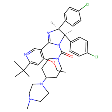 CCOc1cc(C(C)(C)C)ncc1C1=N[C@@](C)(c2ccc(Cl)cc2)[C@@](C)(c2ccc(Cl)cc2)N1C(=O)N1CCC(N2CCN(C)CC2)CC1